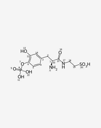 N[C@@H](Cc1ccc(OP(=O)(O)O)c(O)c1)C(=O)NCCS(=O)(=O)O